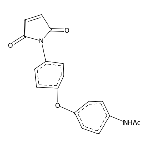 CC(=O)Nc1ccc(Oc2ccc(N3C(=O)C=CC3=O)cc2)cc1